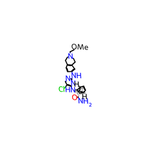 COCCN1CCc2ccc(Nc3ncc(Cl)c(N[C@H]4[C@@H](C(N)=O)[C@H]5C=C[C@@H]4C5)n3)cc2CC1